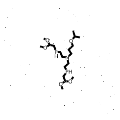 COC(CPCCN(CCCOC(C)C)CCPCC(OC)OC)OC